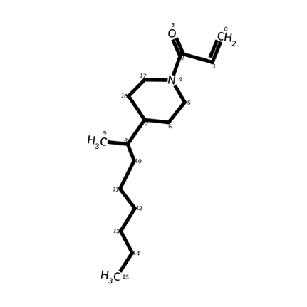 C=CC(=O)N1CCC(C(C)CCCCCC)CC1